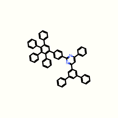 c1ccc(-c2cc(-c3ccccc3)cc(-c3cc(-c4ccccc4)nc(-c4ccc(-c5cc(-c6ccccc6)c(-c6ccccc6)c(-c6ccccc6)c5-c5ccccc5)cc4)n3)c2)cc1